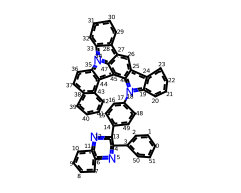 c1ccc(-c2nc3ccccc3nc2-c2ccc(-n3c4ccccc4c4cc5c6ccccc6n6c7ccc8ccccc8c7c(c43)c56)cc2)cc1